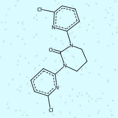 O=C1N(c2cccc(Cl)n2)CCCN1c1cccc(Cl)n1